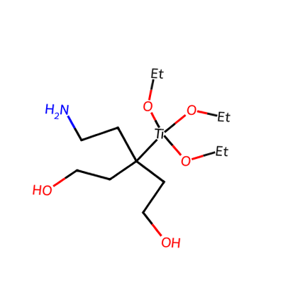 CC[O][Ti]([O]CC)([O]CC)[C](CCN)(CCO)CCO